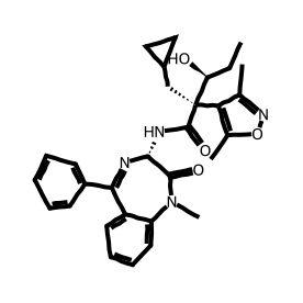 CC[C@H](O)[C@](CC1CC1)(C(=O)N[C@H]1N=C(c2ccccc2)c2ccccc2N(C)C1=O)c1c(C)noc1C